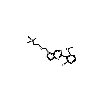 COc1cccc(F)c1-c1ncc2c(cnn2COCC[Si](C)(C)C)n1